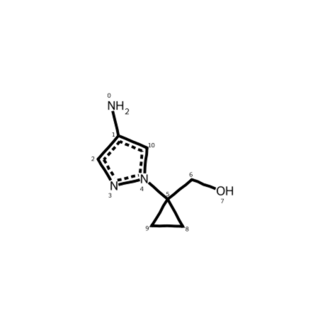 Nc1cnn(C2(CO)CC2)c1